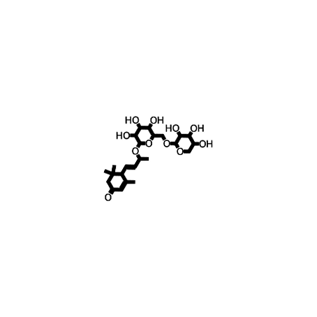 CC1=CC(=O)CC(C)(C)C1/C=C/C(C)OC1OC(COC2OCC(O)C(O)C2O)C(O)C(O)C1O